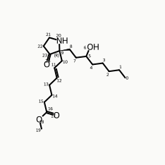 CCCCCC(O)CC[C@]1(CC=CCCCC(=O)OC)NCCC1=O